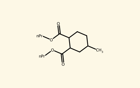 CCCOC(=O)C1CCC(C)CC1C(=O)OCCC